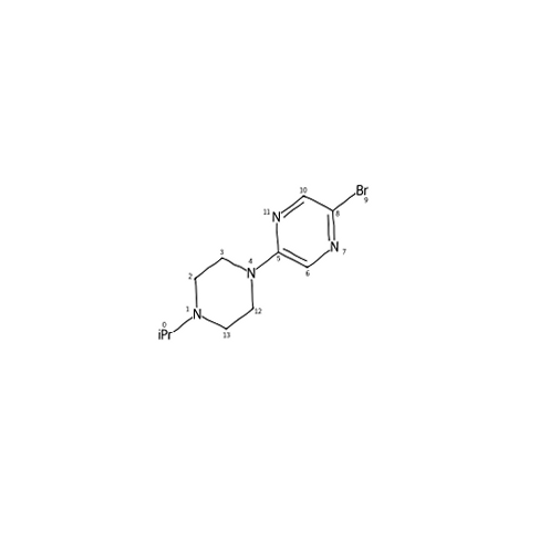 CC(C)N1CCN(c2cnc(Br)cn2)CC1